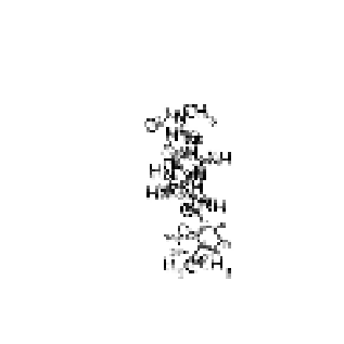 CN1CC(=O)N(C[C@@H]2NC(=N)N3CC(NC(=O)c4cccc5c4OCCC5(C)C)C(O)(O)C34NC(=N)N[C@@H]24)C1=O